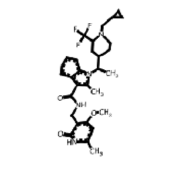 COc1cc(C)[nH]c(=O)c1CNC(=O)c1c(C)n(C(C)C2CCN(CC3CC3)C(C(F)(F)F)C2)c2ccccc12